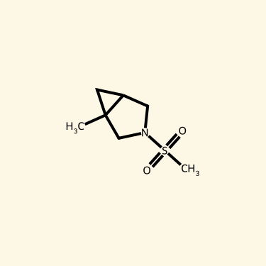 CC12CC1CN(S(C)(=O)=O)C2